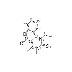 CCN1C(=S)NC(C)=C(C(=O)O)C1c1ccccc1